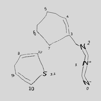 [N-]=[N+]=NC1=CCCC1.c1ccsc1